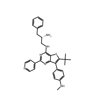 CNc1ccc(-c2c(C(C)(C)C)sc3c(NC[C@@H](N)Cc4ccccc4)nc(-c4ccncc4)nc23)cc1